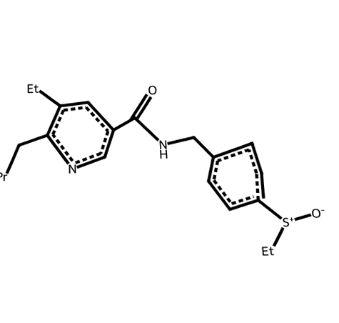 CCc1cc(C(=O)NCc2ccc([S+]([O-])CC)cc2)cnc1CC(C)C